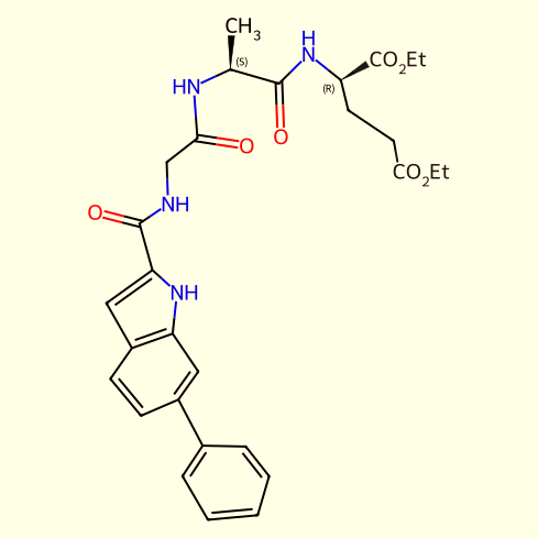 CCOC(=O)CC[C@@H](NC(=O)[C@H](C)NC(=O)CNC(=O)c1cc2ccc(-c3ccccc3)cc2[nH]1)C(=O)OCC